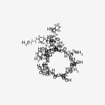 CCCCCc1ccc(/C(C)=C/C(=O)N[C@H](Cc2c[nH]c3ccccc23)C(=O)N[C@H](CC(N)=O)C(=O)N[C@@H](CC(=O)O)C(=O)N[C@@H]2C(=O)NCC(=O)N[C@@H](CCCN)C(=O)N[C@@H](CC(=O)O)C(=O)N[C@H](C)C(=O)N[C@@H](CC(=O)O)C(=O)NCC(=O)N[C@H](CO)C(=O)N[C@@H]([C@H](C)CC(=O)O)C(=O)N[C@@H](CC(=O)c3ccccc3N)C(=O)O[C@@H]2C)cc1